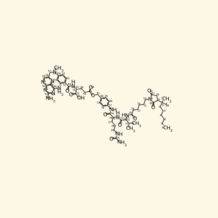 CCCCCCC(C)(I)C1CC(=O)N(CCCCCC(=O)N[C@H](C(=O)N[C@@H](CCCNC(N)=O)C(=O)Nc2ccc(COC(=O)CC[C@H](NC(=O)c3ccc(N(C)Cc4cnc5nc(N)nc(N)c5n4)cc3)C(=O)O)cc2)C(C)C)C1=O